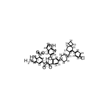 N=C1C([N+](=O)[O-])=CC([S+]([O-])NC(=O)c2ccc(N3CCN(CC4=C(c5ccc(Cl)cc5)CC5(CCC5)CC4)CC3)cc2Oc2cnc3[nH]ccc3c2)=C/C1=C/N